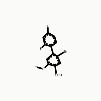 CCOc1cc(-c2ccc(F)cc2F)c(Br)cc1C=O